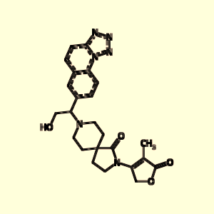 CC1=C(N2CCC3(CCN(C(CO)c4ccc5c(ccc6nnnn65)c4)CC3)C2=O)COC1=O